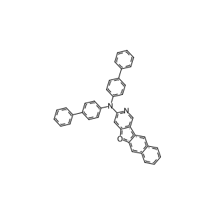 c1ccc(-c2ccc(N(c3ccc(-c4ccccc4)cc3)c3cc4oc5cc6ccccc6cc5c4cn3)cc2)cc1